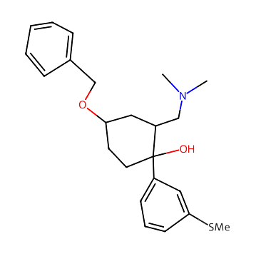 CSc1cccc(C2(O)CCC(OCc3ccccc3)CC2CN(C)C)c1